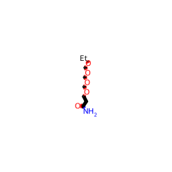 CCOCOCOCOCCC(N)=O